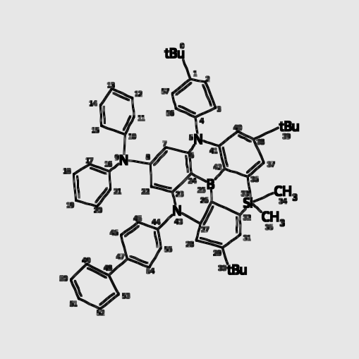 CC(C)(C)c1ccc(N2c3cc(N(c4ccccc4)c4ccccc4)cc4c3B3c5c(cc(C(C)(C)C)cc5[Si](C)(C)c5cc(C(C)(C)C)cc2c53)N4c2ccc(-c3ccccc3)cc2)cc1